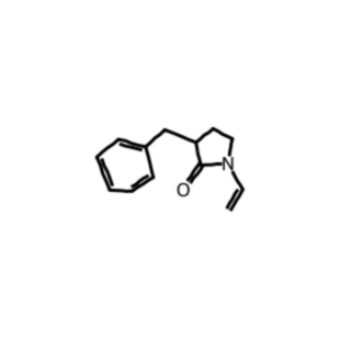 C=CN1CCC(Cc2ccccc2)C1=O